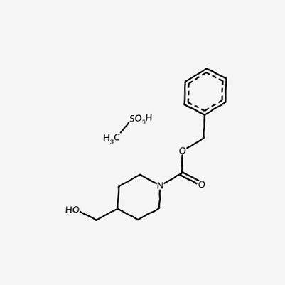 CS(=O)(=O)O.O=C(OCc1ccccc1)N1CCC(CO)CC1